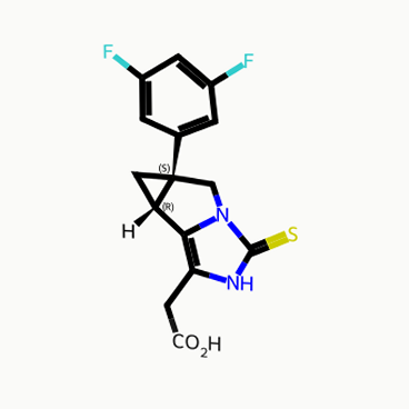 O=C(O)Cc1[nH]c(=S)n2c1[C@@H]1C[C@]1(c1cc(F)cc(F)c1)C2